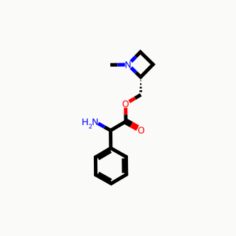 CN1CC[C@@H]1COC(=O)C(N)c1ccccc1